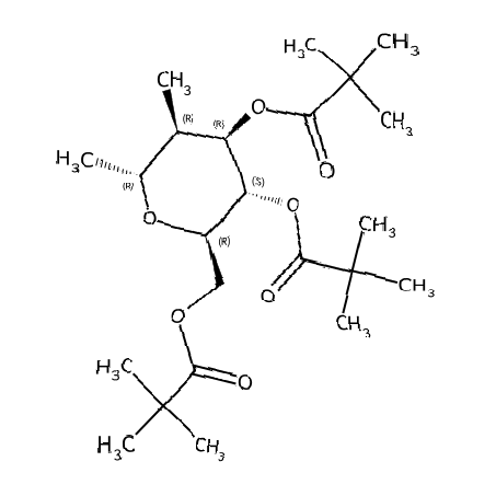 C[C@H]1[C@@H](OC(=O)C(C)(C)C)[C@H](OC(=O)C(C)(C)C)[C@@H](COC(=O)C(C)(C)C)O[C@@H]1C